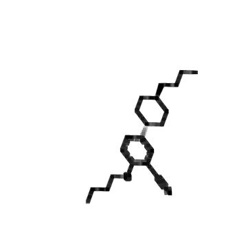 CCCCOc1ccc([C@H]2CC[C@H](CCCC)CC2)cc1C#N